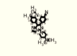 C/C=N\c1cc(-c2c(-c3ccc(C#N)cc3)nc(N3CCC(N(C)C)CC3)n3ccnc23)ccc1C